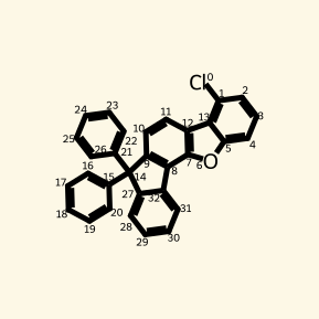 Clc1cccc2oc3c4c(ccc3c12)C(c1ccccc1)(c1ccccc1)c1ccccc1-4